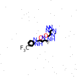 C[C@@H](NC(=O)c1ncnc2c1nnn2C)c1cc(-c2nc3ccc(C(F)(F)F)cc3[nH]2)on1